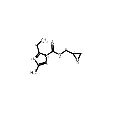 CCc1nc(C)cn1C(=O)OCC1CO1